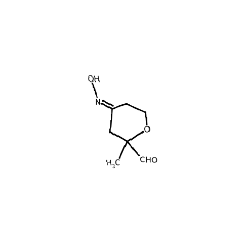 CC1(C=O)CC(=NO)CCO1